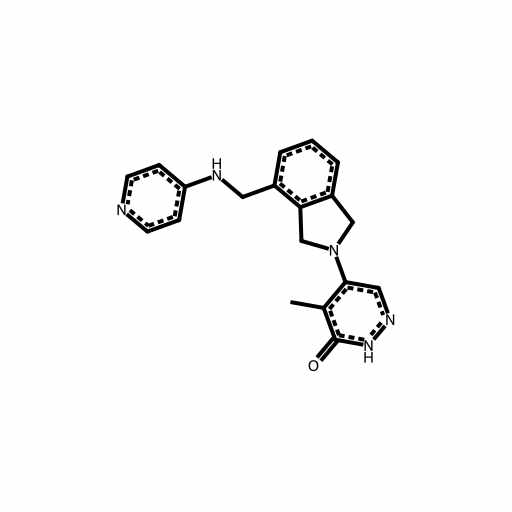 Cc1c(N2Cc3cccc(CNc4ccncc4)c3C2)cn[nH]c1=O